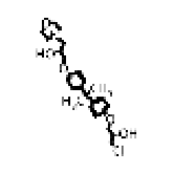 CC(C)(c1ccc(OC[C@H](O)CCl)cc1)c1ccc(OC[C@@H](O)CN2CCOCC2)cc1